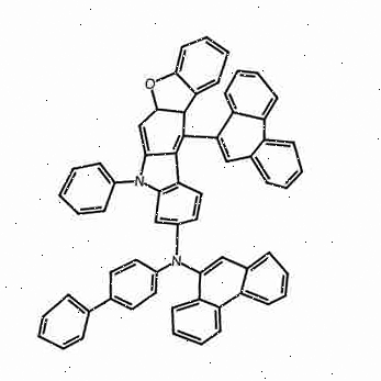 C1=c2c(c3ccc(N(c4ccc(-c5ccccc5)cc4)c4cc5ccccc5c5ccccc45)cc3n2-c2ccccc2)=C(c2cc3ccccc3c3ccccc23)C2c3ccccc3OC12